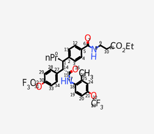 CCC[C@@H](c1ccc(C(=O)NCCC(=O)OCC)cc1)[C@H](C(=O)Nc1ccc(OC(F)(F)F)cc1C)c1ccc(OC(F)(F)F)cc1